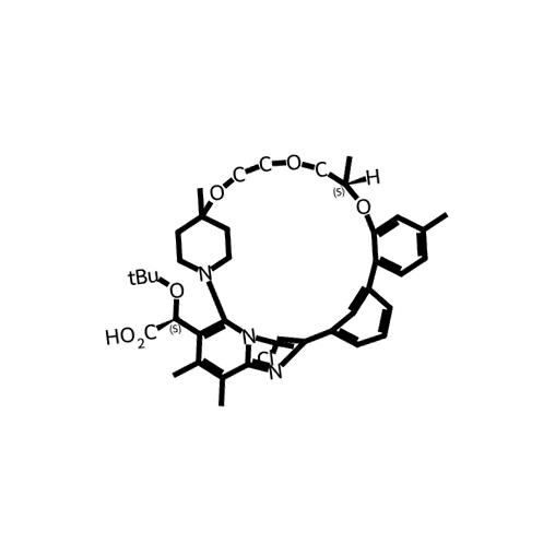 Cc1ccc2c(c1)O[C@@H](C)COCCOC1(C)CCN(CC1)c1c([C@H](OC(C)(C)C)C(=O)O)c(C)c(C)c3nc(c(Cl)n13)-c1cccc-2c1